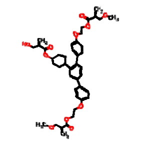 C=C(COC)C(=O)OCCOc1ccc(-c2ccc(-c3ccc(OCCOC(=O)C(=C)COC)cc3)c(C3CCC(OC(=O)C(=C)CO)CC3)c2)cc1